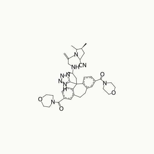 C=C(CN[C@H](C)CC1(c2nnn[nH]2)c2ccc(C(=O)N3CCOCC3)cc2CCc2cc(C(=O)N3CCOCC3)ccc21)N1C(C#N)C[C@H](C)C1C